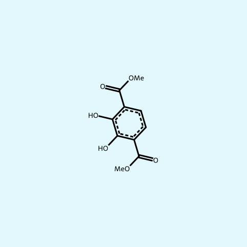 COC(=O)c1ccc(C(=O)OC)c(O)c1O